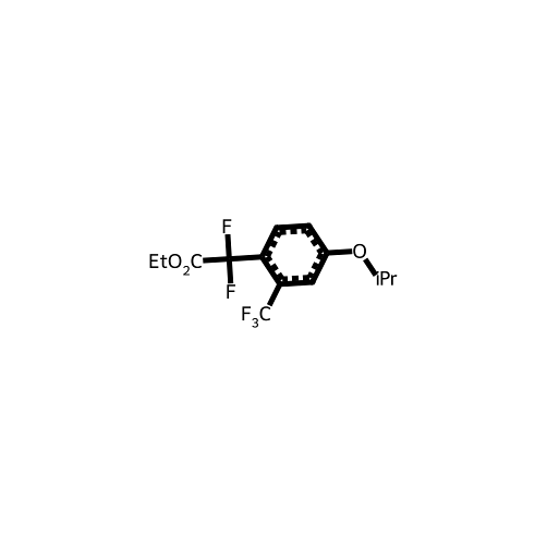 CCOC(=O)C(F)(F)c1ccc(OC(C)C)cc1C(F)(F)F